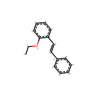 CCOc1ccccc1C=Cc1ccccc1